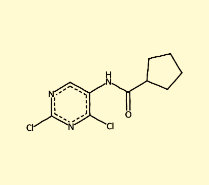 O=C(Nc1cnc(Cl)nc1Cl)C1CCCC1